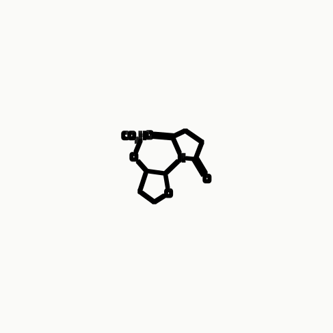 O=C(O)OC1CCOC1N1C(=O)CCC1=O